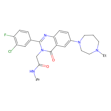 CCN1CCCN(c2ccc3nc(-c4ccc(F)c(Cl)c4)n(CC(=O)NC(C)C)c(=O)c3c2)CC1